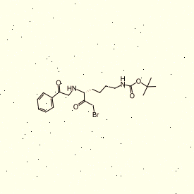 CC(C)(C)OC(=O)NCCCC[C@@H](NCC(=O)c1ccccc1)C(=O)CBr